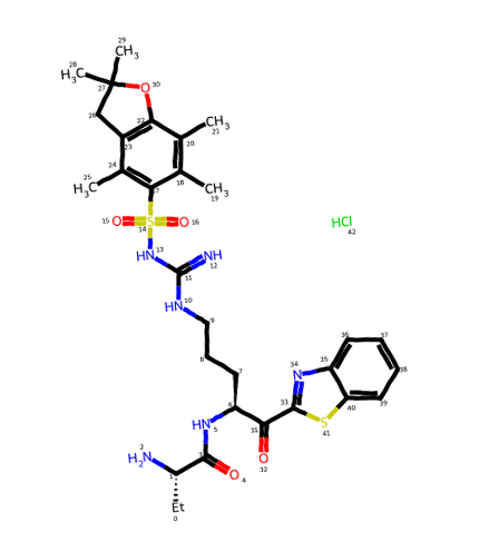 CC[C@H](N)C(=O)N[C@@H](CCCNC(=N)NS(=O)(=O)c1c(C)c(C)c2c(c1C)CC(C)(C)O2)C(=O)c1nc2ccccc2s1.Cl